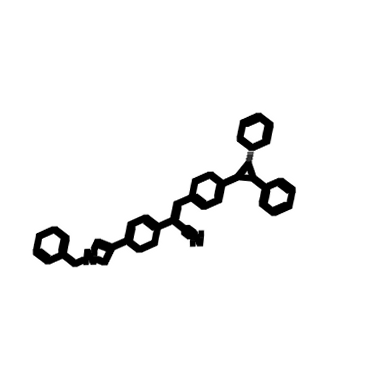 N#C/C(=C\C1=CC=C(C2C(c3ccccc3)C2[C@H]2C=CC=CC2)CC1)C1=CC=C(C2=CN(CC3=CCCC=C3)C2)CC1